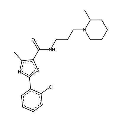 Cc1nc(-c2ccccc2Cl)sc1C(=O)NCCCN1CCCCC1C